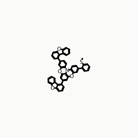 CSc1ccccc1-c1ccc2c(c1)Oc1cc(-c3cccc4oc5ccccc5c34)cc3c1N2c1ccc(-c2cccc4oc5ccccc5c24)cc1O3